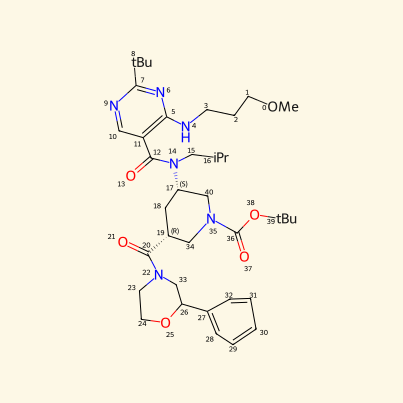 COCCCNc1nc(C(C)(C)C)ncc1C(=O)N(CC(C)C)[C@H]1C[C@@H](C(=O)N2CCOC(c3ccccc3)C2)CN(C(=O)OC(C)(C)C)C1